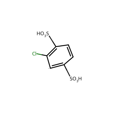 O=S(=O)(O)c1[c]c(Cl)c(S(=O)(=O)O)cc1